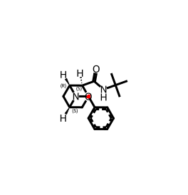 CC(C)(C)NC(=O)[C@H]1OC[C@@H]2C[C@H]1N2Cc1ccccc1